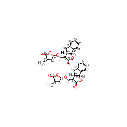 CC1=C[C@@H](O/C=C2/C(=O)O[C@H]3c4ccccc4C[C@@H]23)OC1=O.CC1=C[C@H](O/C=C2/C(=O)O[C@@H]3c4ccccc4C[C@H]23)OC1=O